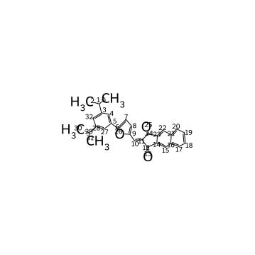 CC(C)c1cc(-c2ccc(C=C3C(=O)c4cc5ccccc5cc4C3=O)o2)cc(C(C)C)c1